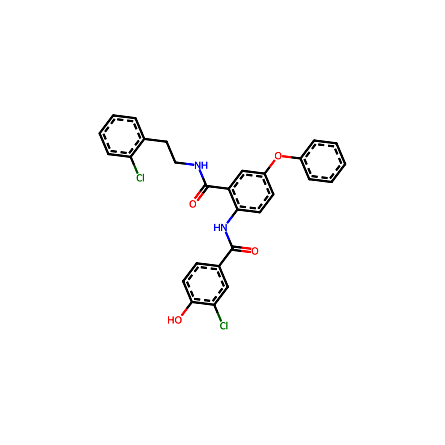 O=C(Nc1ccc(Oc2ccccc2)cc1C(=O)NCCc1ccccc1Cl)c1ccc(O)c(Cl)c1